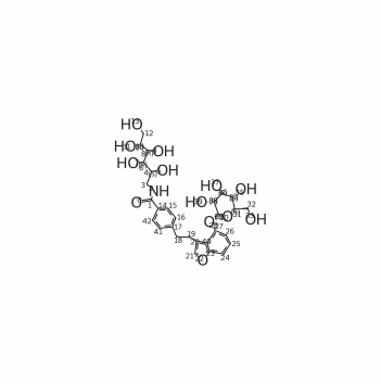 O=C(NC[C@H](O)[C@@H](O)[C@H](O)[C@H](O)CO)c1ccc(CCc2coc3cccc(O[C@@H]4O[C@H](CO)[C@@H](O)[C@H](O)[C@H]4O)c23)cc1